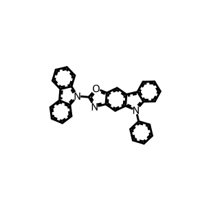 c1ccc(-n2c3ccccc3c3cc4oc(-n5c6ccccc6c6ccccc65)nc4cc32)cc1